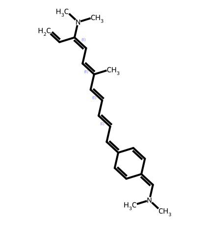 C=C\C(=C/C=C(C)/C=C/C=C/C=c1ccc(=CN(C)C)cc1)N(C)C